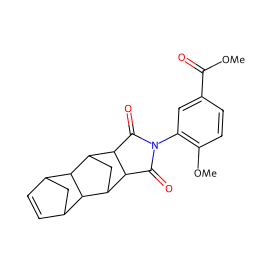 COC(=O)c1ccc(OC)c(N2C(=O)C3C4CC(C3C2=O)C2C3C=CC(C3)C42)c1